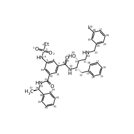 CCS(=O)(=O)Nc1cc(C(=O)N[C@@H](Cc2ccccc2)[C@H](O)CNCc2cccc(I)c2)cc(C(=O)N[C@H](C)c2ccccc2)c1